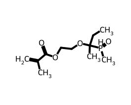 C=C(C)C(=O)OCCOC(C)(CC)[PH](C)=O